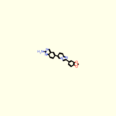 Nc1ncc2cc(-c3ccc4nc(-c5ccc6c(c5)OCO6)cn4c3)ccc2n1